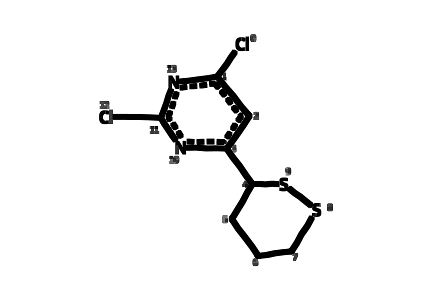 Clc1cc(C2CCCSS2)nc(Cl)n1